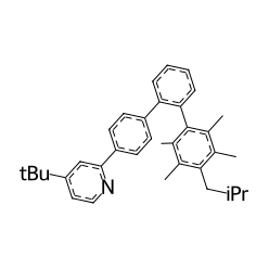 Cc1c(C)c(-c2ccccc2-c2ccc(-c3cc(C(C)(C)C)ccn3)cc2)c(C)c(C)c1CC(C)C